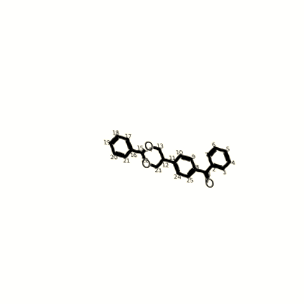 O=C(c1ccccc1)c1ccc(C2COC(c3ccccc3)OC2)cc1